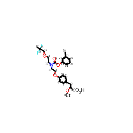 CCOC(Cc1ccc(OCCN(CCOCC(C)(F)F)C(=O)Oc2cccc(C)c2)cc1)C(=O)O